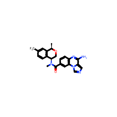 C[C@H]1OC[C@@H](N(C)C(=O)c2ccc3nc(N)c4cncn4c3c2)c2ccc(C(F)(F)F)cc21